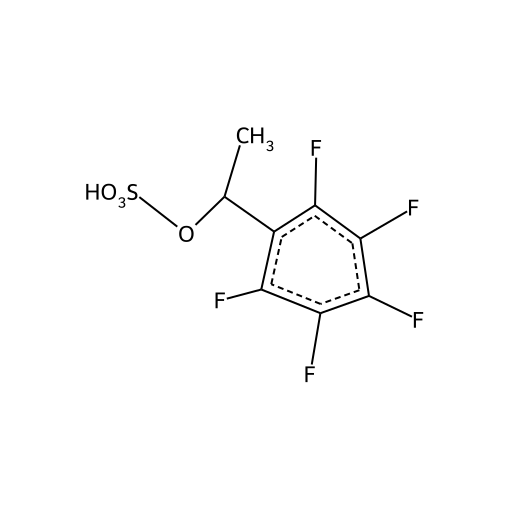 CC(OS(=O)(=O)O)c1c(F)c(F)c(F)c(F)c1F